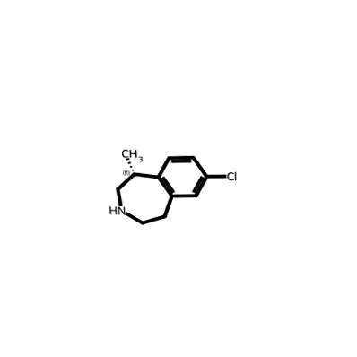 C[C@H]1CNCCc2cc(Cl)ccc21